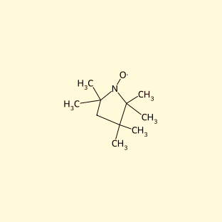 CC1(C)CC(C)(C)C(C)(C)N1[O]